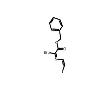 CC(C)(C)/C(=N/C=C\I)C(=O)OCc1ccccc1